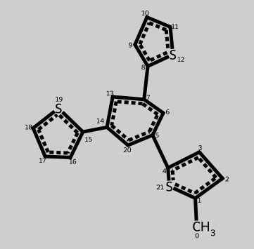 Cc1ccc(-c2cc(-c3cccs3)cc(-c3cccs3)c2)s1